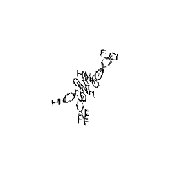 O=C(COc1ccc(Cl)c(F)c1)NC1C=C(NC(=O)C2CC(O)c3ccc(C(F)(F)F)cc3O2)C1